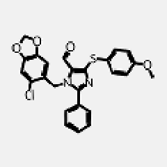 COc1ccc(Sc2nc(-c3ccccc3)n(Cc3cc4c(cc3Cl)OCO4)c2C=O)cc1